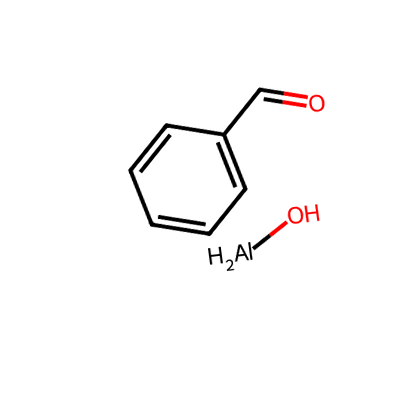 O=Cc1ccccc1.[OH][AlH2]